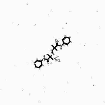 CC(C)(N=NC(C)(C)C(=N)NC1=CCCC=C1)C(=N)NC1=CCCC=C1.Cl.Cl